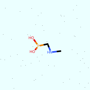 CNCP(O)O